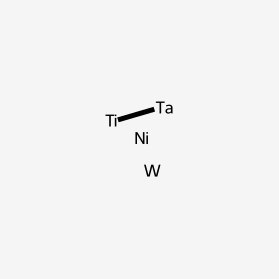 [Ni].[Ti][Ta].[W]